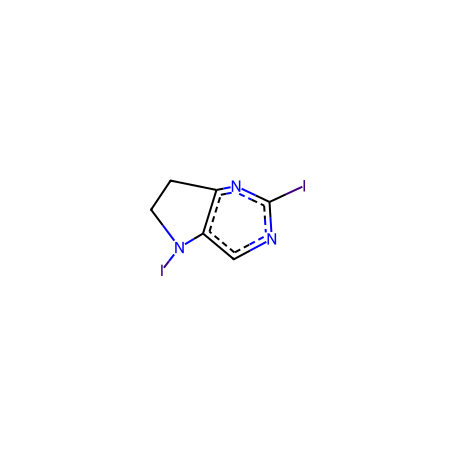 Ic1ncc2c(n1)CCN2I